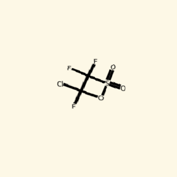 O=S1(=O)OC(F)(Cl)C1(F)F